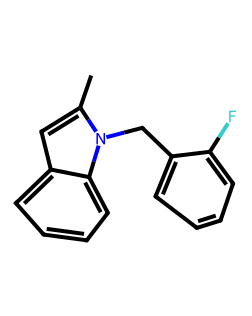 Cc1cc2ccccc2n1Cc1ccccc1F